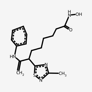 C=C(Nc1ccccc1)C(CCCCCC(=O)NO)c1nc(C)ns1